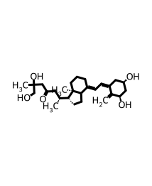 C=C1/C(=C\C=C2CCC[C@@]3(C)C2CC[C@@H]3[C@H](C)CC(=O)CC(C)(O)CO)C[C@@H](O)C[C@H]1O